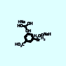 O.O.O=C(O)c1cccc(Br)c1.OB(O)O.[NaH].[NaH]